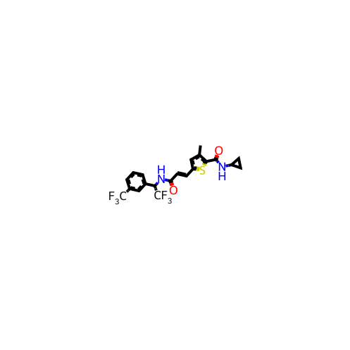 Cc1cc(/C=C/C(=O)NC(c2cccc(C(F)(F)F)c2)C(F)(F)F)sc1C(=O)NC1CC1